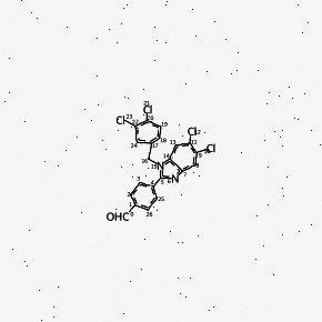 O=Cc1ccc(-c2nc3cc(Cl)c(Cl)cc3n2Cc2ccc(Cl)c(Cl)c2)cc1